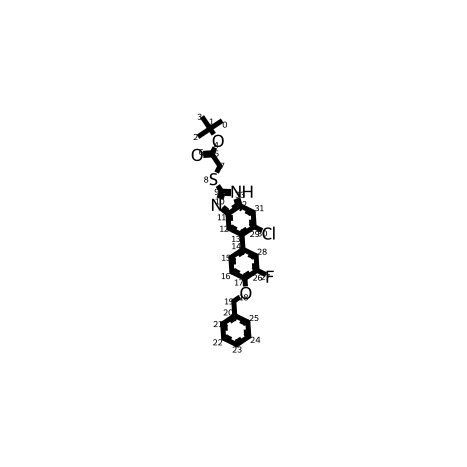 CC(C)(C)OC(=O)CSc1nc2cc(-c3ccc(OCc4ccccc4)c(F)c3)c(Cl)cc2[nH]1